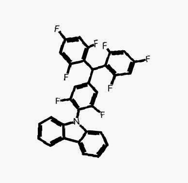 Fc1cc(F)c(C(c2cc(F)c(-n3c4ccccc4c4ccccc43)c(F)c2)c2c(F)cc(F)cc2F)c(F)c1